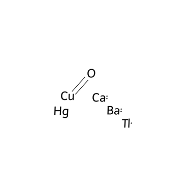 [Ba].[Ca].[Hg].[O]=[Cu].[Tl]